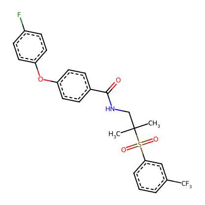 CC(C)(CNC(=O)c1ccc(Oc2ccc(F)cc2)cc1)S(=O)(=O)c1cccc(C(F)(F)F)c1